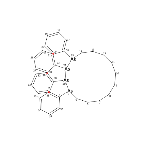 c1ccc([As]2CCCCCCCCCC[As](c3ccccc3)[As](c3ccccc3)[As]2c2ccccc2)cc1